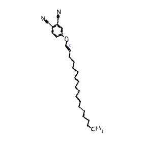 CCCCCCCCCCCCCCCC/C=C/Oc1ccc(C#N)c(C#N)c1